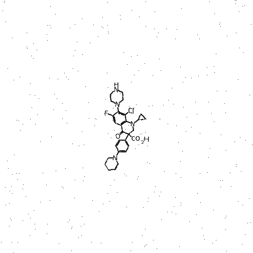 O=C(O)C1(c2ccc(N3CCCCC3)cc2)CN(C2CC2)c2c(cc(F)c(N3CCNCC3)c2Cl)C1=O